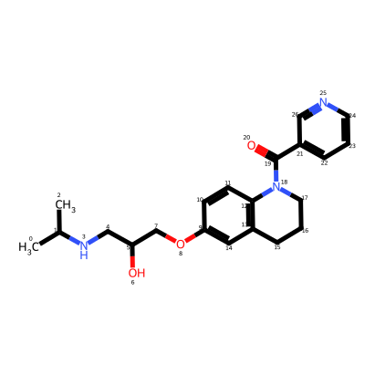 CC(C)NCC(O)COc1ccc2c(c1)CCCN2C(=O)c1cccnc1